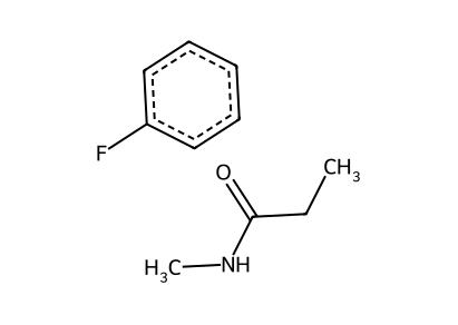 CCC(=O)NC.Fc1ccccc1